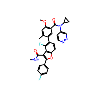 CNC(=O)c1c(-c2ccc(F)cc2)oc2ccc(-c3cc(C(=O)N(c4ccnnc4)C4CC4)c(OC)cc3C)c(F)c12